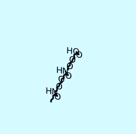 CCCCC(=O)NCCOCCOCCC(=O)NCCOCCOCCC(=O)O